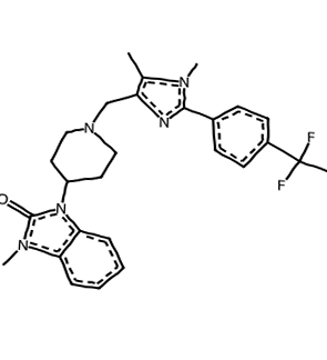 Cc1c(CN2CCC(n3c(=O)n(C)c4ccccc43)CC2)nc(-c2ccc(C(F)(F)F)cc2)n1C